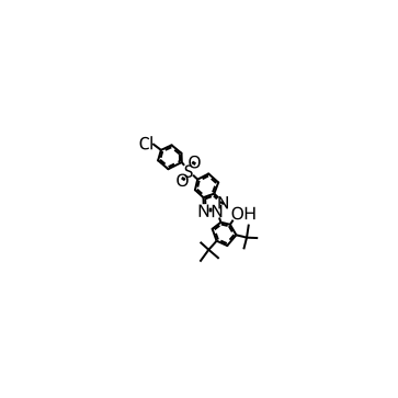 CC(C)(C)c1cc(-n2nc3ccc(S(=O)(=O)c4ccc(Cl)cc4)cc3n2)c(O)c(C(C)(C)C)c1